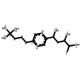 OC(CC(O)C(O)F)c1cnc(CCCC(O)(O)O)cn1